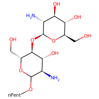 CCCCCOC1O[C@H](CO)[C@@H](O[C@@H]2O[C@H](CO)[C@@H](O)[C@H](O)[C@H]2N)[C@H](O)[C@H]1N